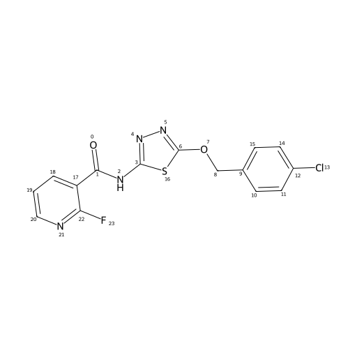 O=C(Nc1nnc(OCc2ccc(Cl)cc2)s1)c1cccnc1F